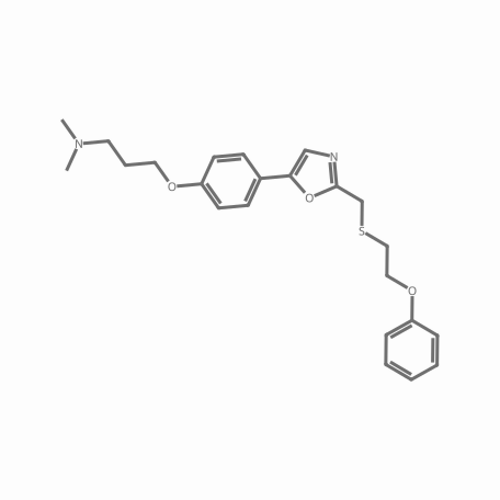 CN(C)CCCOc1ccc(-c2cnc(CSCCOc3ccccc3)o2)cc1